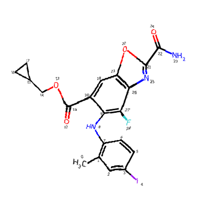 Cc1cc(I)ccc1Nc1c(C(=O)OCC2CC2)cc2oc(C(N)=O)nc2c1F